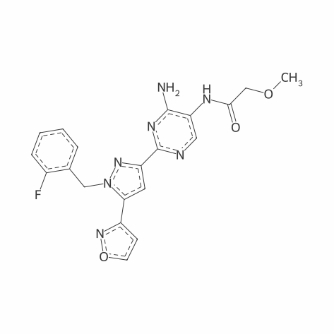 COCC(=O)Nc1cnc(-c2cc(-c3ccon3)n(Cc3ccccc3F)n2)nc1N